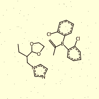 C=C(C)B(c1ccccc1Cl)c1ccccc1Cl.CCC(Cn1ccnc1)C1OCCO1